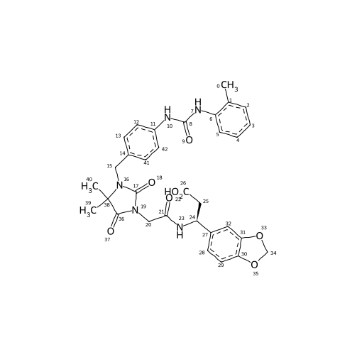 Cc1ccccc1NC(=O)Nc1ccc(CN2C(=O)N(CC(=O)N[C@@H](CC(=O)O)c3ccc4c(c3)OCO4)C(=O)C2(C)C)cc1